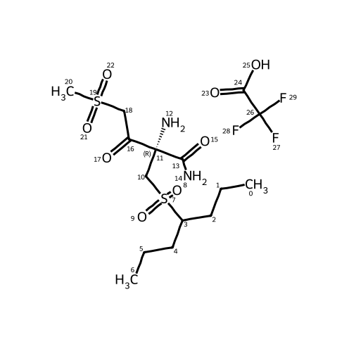 CCCC(CCC)S(=O)(=O)C[C@](N)(C(N)=O)C(=O)CS(C)(=O)=O.O=C(O)C(F)(F)F